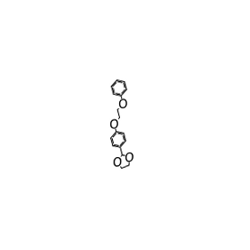 c1ccc(OCCOc2ccc(C3OCCO3)cc2)cc1